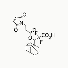 O=C(CCN1C(=O)C=CC1=O)OC(C12CC3CC(CC(C3)C1)C2)C(F)(F)C(=O)O